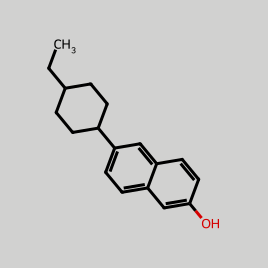 CCC1CCC(c2ccc3cc(O)ccc3c2)CC1